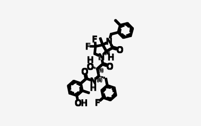 Cc1ccccc1CN1C(=O)[C@H]2N(C(=O)[C@@H](O)[C@H](Cc3cccc(F)c3)NC(=O)c3cccc(O)c3C)CC(F)(F)C21C